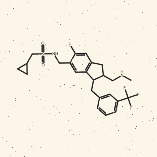 CNCC1Cc2cc(F)c(CNS(=O)(=O)CC3CC3)cc2C1Cc1cccc(C(F)(F)F)c1